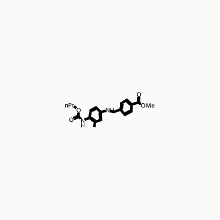 CCCOC(=O)Nc1ccc(NCc2ccc(C(=O)OC)cc2)cc1C